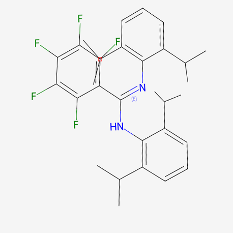 CC(C)c1cccc(C(C)C)c1/N=C(/Nc1c(C(C)C)cccc1C(C)C)c1c(F)c(F)c(F)c(F)c1F